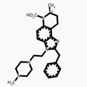 C[C@H]1CCc2c(ccc3c2nc(Cc2ccccc2)n3CCN2CCN(C)CC2)N1C(=O)O